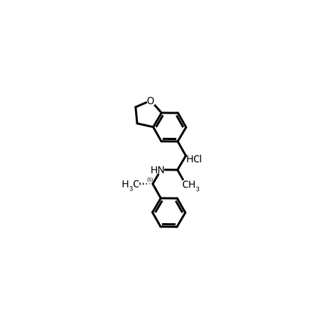 CC(Cc1ccc2c(c1)CCO2)N[C@@H](C)c1ccccc1.Cl